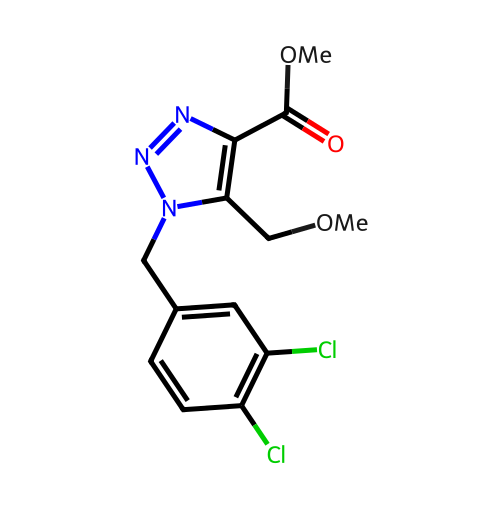 COCc1c(C(=O)OC)nnn1Cc1ccc(Cl)c(Cl)c1